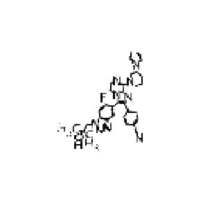 CC(C)(O)Cn1nnc2cc(-c3c(-c4ccc(C#N)cc4)nc4c(N5CCC[C@@H](N6CCCC6)C5)nccn34)c(F)cc21